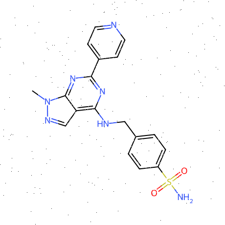 Cn1ncc2c(NCc3ccc(S(N)(=O)=O)cc3)nc(-c3ccncc3)nc21